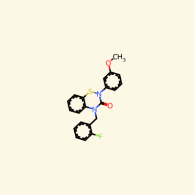 COc1cccc(N2Sc3ccccc3N(Cc3ccccc3F)C2=O)c1